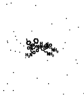 Cc1ccc(S(=O)(=O)N(CC(N)=O)CC(Cc2ccccc2)NC(=O)C(CCCCN)NC(=O)CN(C)S(=O)(=O)CCN)cc1